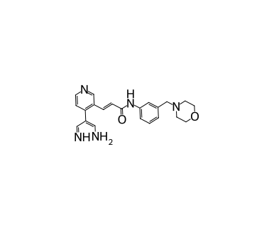 N=C/C(=C\N)c1ccncc1/C=C/C(=O)Nc1cccc(CN2CCOCC2)c1